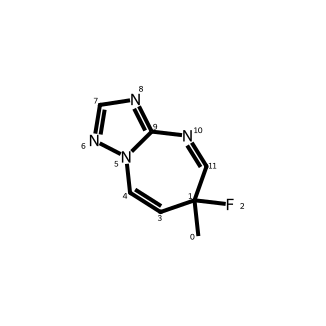 CC1(F)C=Cn2ncnc2N=C1